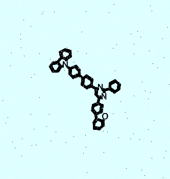 c1ccc(-c2nc(-c3ccc(-c4ccc(-n5c6ccccc6c6ccccc65)cc4)cc3)cc(-c3ccc4c(c3)oc3ccccc34)n2)cc1